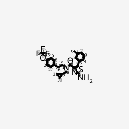 Cc1cccc(-c2sc(N)nc2C(=O)N(CCc2ccc(OC(F)(F)F)cc2)CC2CC2)c1